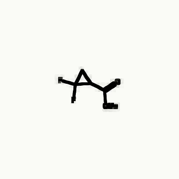 COC(=O)C1CC1(F)F